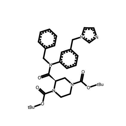 CC(C)(C)OC(=O)N1CCN(C(=O)OC(C)(C)C)[C@@H](C(=O)N(Cc2ccccc2)c2cccc(Cn3ccnc3)c2)C1